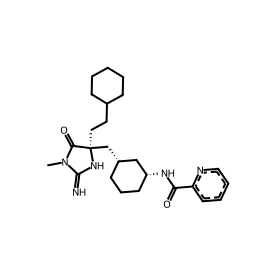 CN1C(=N)N[C@](CCC2CCCCC2)(C[C@H]2CCC[C@@H](NC(=O)c3ccccn3)C2)C1=O